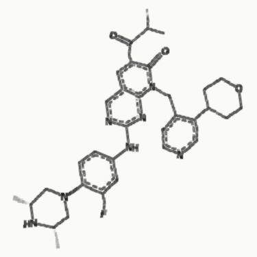 CC(C)C(=O)c1cc2cnc(Nc3ccc(N4C[C@@H](C)N[C@@H](C)C4)c(F)c3)nc2n(Cc2ccncc2C2CCOCC2)c1=O